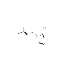 CC(C)=CCn1ccnc1[N+](=O)[O-]